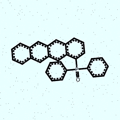 O=P(c1ccccc1)(c1ccccc1)c1cccc2cc3cc4ccccc4cc3cc12